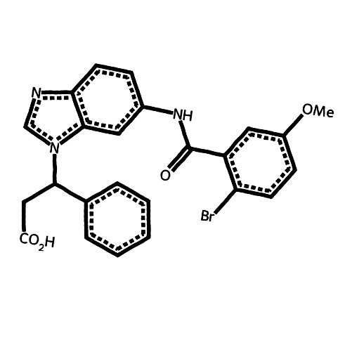 COc1ccc(Br)c(C(=O)Nc2ccc3ncn(C(CC(=O)O)c4ccccc4)c3c2)c1